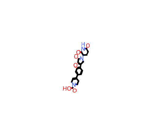 O=C1CCC(N2Cc3c(oc4cc(C5=CCN(C(=O)O)CC5)ccc34)C2=O)C(=O)N1